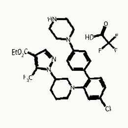 CCOC(=O)c1cnn(C2CCCN(c3cc(Cl)ccc3-c3ccc(N4CCNCC4)cc3)C2)c1C(F)(F)F.O=C(O)C(F)(F)F